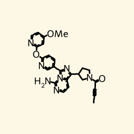 CC#CC(=O)N1CCC(c2nc(-c3ccc(Oc4cc(OC)ccn4)nc3)n3c(N)nccc23)C1